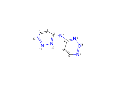 c1cc([N]c2ccnnn2)nnn1